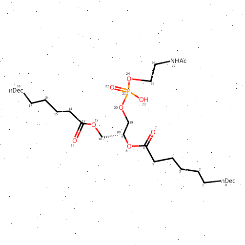 CCCCCCCCCCCCCCCC(=O)O[C@H](COC(=O)CCCCCCCCCCCCCC)COP(=O)(O)OCCNC(C)=O